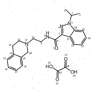 CC(C)n1nc(C(=O)NCCN2CCc3ccccc3C2)c2ccccc21.O=C(O)C(=O)O